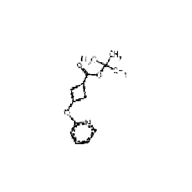 CC(C)(C)OC(=O)C1CC(Oc2ccccn2)C1